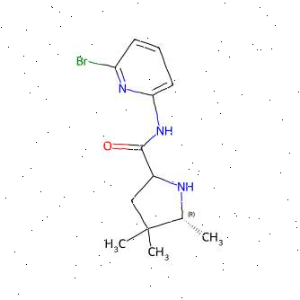 C[C@H]1NC(C(=O)Nc2cccc(Br)n2)CC1(C)C